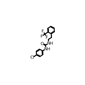 O=C(NCCc1ccccc1C(F)(F)F)Nc1ccc(Cl)cc1